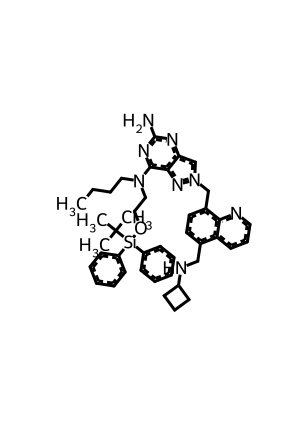 CCCCN(CCO[Si](c1ccccc1)(c1ccccc1)C(C)(C)C)c1nc(N)nc2cn(Cc3ccc(CNC4CCC4)c4cccnc34)nc12